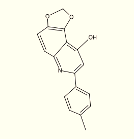 Cc1ccc(-c2cc(O)c3c4c(ccc3n2)OCO4)cc1